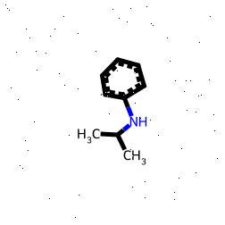 CC(C)Nc1[c]cccc1